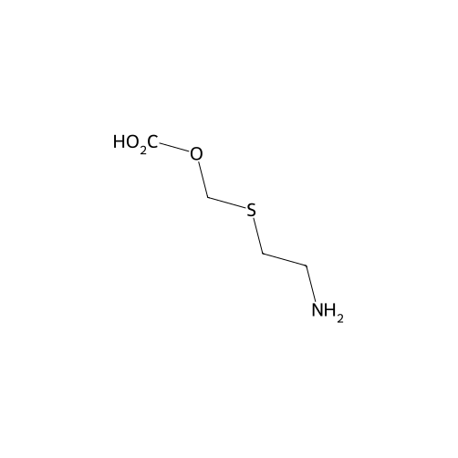 NCCSCOC(=O)O